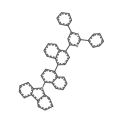 c1ccc(-c2cc(-c3ccc(-c4ccc(-n5c6ccccc6c6ccccc65)c5ccccc45)c4ccccc34)nc(-c3ccccc3)n2)cc1